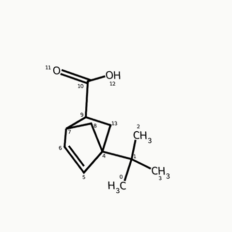 CC(C)(C)C12C=CC(C1)C(C(=O)O)C2